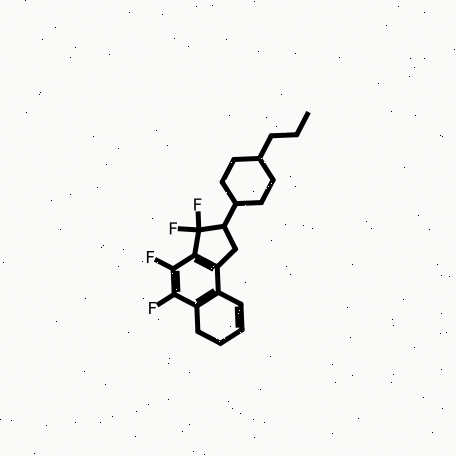 CCCC1CCC(C2Cc3c4c(c(F)c(F)c3C2(F)F)CCC=C4)CC1